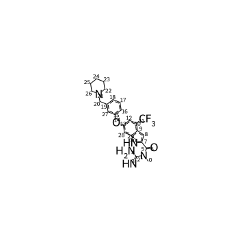 CN(C(=N)N)C(=O)c1cc2c(C(F)(F)F)cc(Oc3cccc(CN4CCCCC4)c3)cc2[nH]1